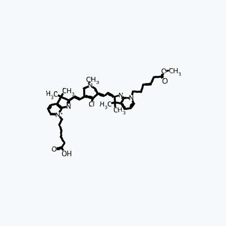 COC(=O)CCCCCN1C=CC=C2C1=N/C(=C/C=C1\CN(C)CC(/C=C/C3=Nc4c(ccc[n+]4CCCCCC(=O)O)C3(C)C)=C1Cl)C2(C)C